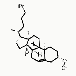 CC(C)CCC[C@@H](C)[C@H]1CC[C@H]2[C@@H]3CC=C4C[C@@H](O[O])CC[C@]4(C)[C@H]3CC[C@]12C